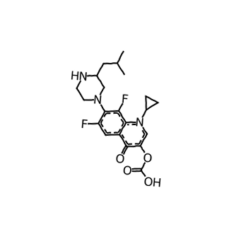 CC(C)CC1CN(c2c(F)cc3c(=O)c(OC(=O)O)cn(C4CC4)c3c2F)CCN1